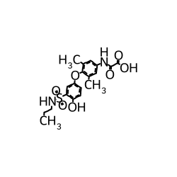 CCCNS(=O)(=O)c1cc(Oc2c(C)cc(NC(=O)C(=O)O)cc2C)ccc1O